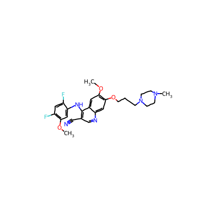 COc1cc(Nc2c(C#N)cnc3cc(OCCCN4CCN(C)CC4)c(OC)cc23)c(F)cc1F